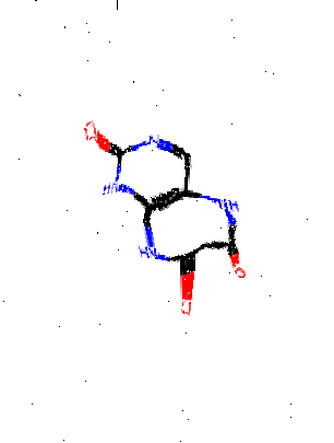 O=c1ncc2[nH]c(=O)c(=O)[nH]c2[nH]1